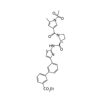 CCOC(=O)c1cccc(-c2cccc(-c3csc(NC(=O)[C@@H]4CCN4C(=O)c4cc(C)n(S(C)(=O)=O)c4)n3)c2)c1